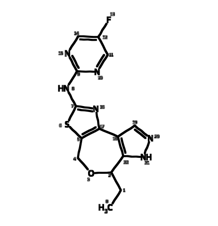 CCC1OCc2sc(Nc3ncc(F)cn3)nc2-c2cn[nH]c21